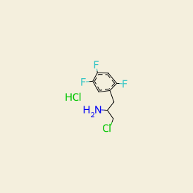 Cl.NC(CCl)Cc1cc(F)c(F)cc1F